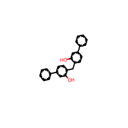 Oc1cc(-c2ccccc2)ccc1Cc1ccc(-c2ccccc2)cc1O